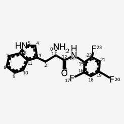 N[C@@H](Cc1c[nH]c2ccccc12)C(=O)Nc1c(F)cc(F)cc1F